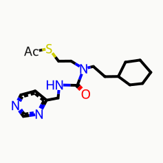 CC(=O)SCCN(CCC1CCCCC1)C(=O)NCc1ccncn1